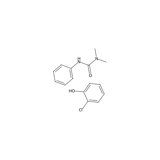 CN(C)C(=O)Nc1ccccc1.Oc1ccccc1Cl